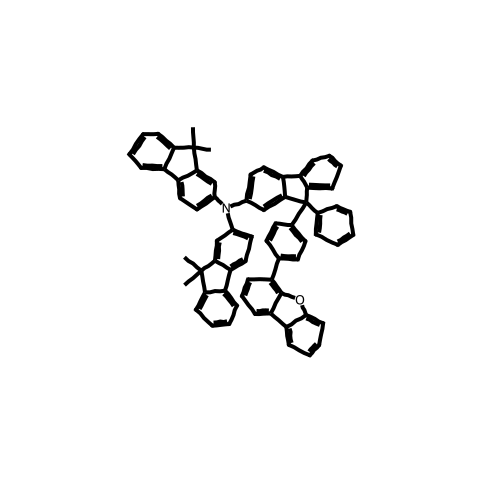 CC1(C)c2ccccc2-c2ccc(N(c3ccc4c(c3)C(C)(C)c3ccccc3-4)c3ccc4c(c3)C(c3ccccc3)(c3ccc(-c5cccc6c5oc5ccccc56)cc3)c3ccccc3-4)cc21